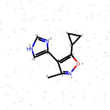 Cc1noc(C2CC2)c1-c1c[nH]cn1